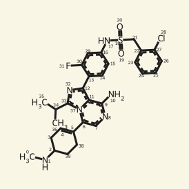 CNC1CC=C(c2cnc(N)c3c(-c4ccc(NS(=O)(=O)Cc5ccccc5Cl)cc4F)nc(C(C)C)n23)CC1